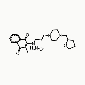 CC1=C(N(CCCN2CCN(CC3CCCO3)CC2)[NH2+][O-])C(=O)c2ccccc2C1=O